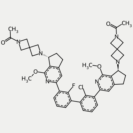 COc1nc(-c2cccc(-c3cccc(-c4cc5c(c(OC)n4)[C@@H](N4CC6(CN(C(C)=O)C6)C4)CC5)c3Cl)c2F)cc2c1[C@H](N1CC3(CN(C(C)=O)C3)C1)CC2